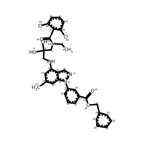 CCN(CC(C)(O)CNc1cc(C)cc2c1cnn2-c1cccc(C(=O)OCc2ccccc2)c1)C(=O)c1c(Cl)cccc1Cl